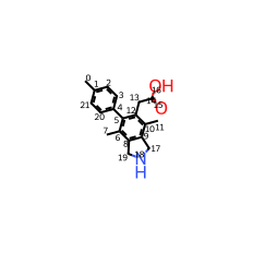 Cc1ccc(-c2c(C)c3c(c(C)c2CC(=O)O)CNC3)cc1